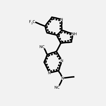 CN(C#N)c1ncc(C#N)c(-c2c[nH]c3ncc(C(F)(F)F)cc23)n1